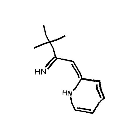 CC(C)(C)C(=N)/C=C1/C=CC=CN1